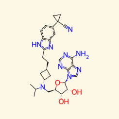 CC(C)N(C[C@H]1O[C@@H](n2cnc3c(N)ncnc32)[C@H](O)[C@@H]1O)[C@H]1C[C@H](CCc2nc3cc(C4(C#N)CC4)ccc3[nH]2)C1